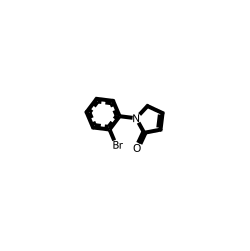 O=C1C=CCN1c1ccccc1Br